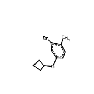 Cc1ccc(OC2CCC2)cc1Br